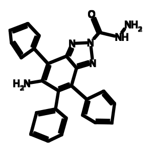 NNC(=O)n1nc2c(-c3ccccc3)c(N)c(-c3ccccc3)c(-c3ccccc3)c2n1